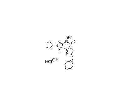 CCCN1C(=O)N2CC(CN3CCOCC3)N=C2c2[nH]c(C3CCCC3)nc21.Cl.Cl